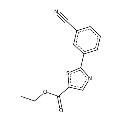 CCOC(=O)c1cnc(-c2cccc(C#N)c2)s1